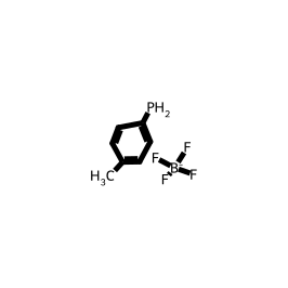 Cc1ccc(P)cc1.F[B-](F)(F)F